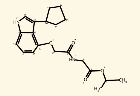 CC(C)OC(=O)CNC(=O)COc1cccc2[nH]cc(C3CCCC3)c12